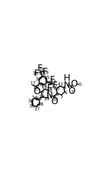 COC(=O)NC1CCC(C(=O)N2CCC(OC(C)c3cc(C(F)(F)F)cc(C(F)(F)F)c3)C(c3ccccc3)C2)CC1